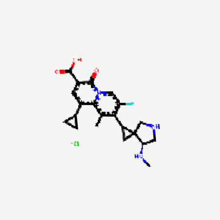 CN[C@@H]1CNCC12CC2c1c(F)cn2c(=O)c(C(=O)O)cc(C3CC3)c2c1C.Cl